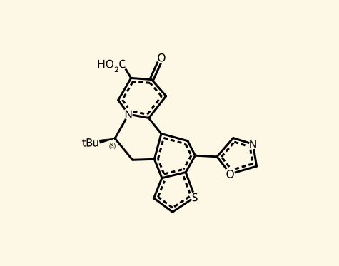 CC(C)(C)[C@@H]1Cc2c(cc(-c3cnco3)c3sccc23)-c2cc(=O)c(C(=O)O)cn21